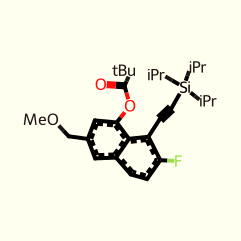 COCc1cc(OC(=O)C(C)(C)C)c2c(C#C[Si](C(C)C)(C(C)C)C(C)C)c(F)ccc2c1